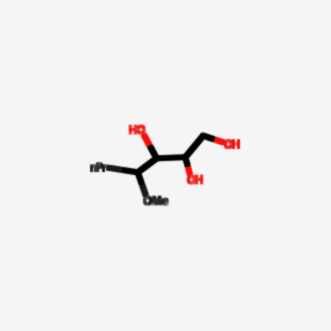 CCCC(OC)C(O)C(O)CO